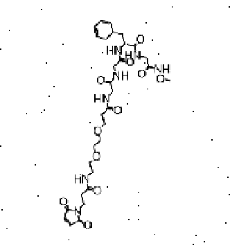 CONC(=O)CNC(=O)C(CC1C=CC=CC1)NC(=O)CNC(=O)CNC(=O)CCOCCOCCNC(=O)CCN1C(=O)C=CC1=O